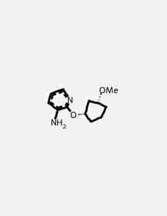 CO[C@@H]1CCC[C@H](Oc2ncccc2N)C1